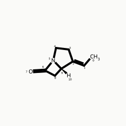 C/C=C1\CCN2C(=O)C[C@@H]12